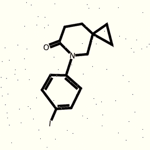 O=C1CCC2(CC2)CN1c1ccc(I)cc1